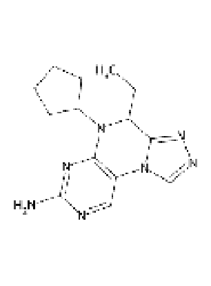 CCC1c2nncn2-c2cnc(N)nc2N1C1CCCC1